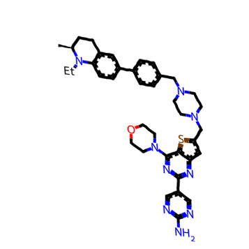 CCN1c2ccc(-c3ccc(CN4CCN(Cc5cc6nc(-c7cnc(N)nc7)nc(N7CCOCC7)c6s5)CC4)cc3)cc2CC[C@@H]1C